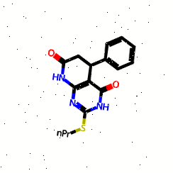 CCCSc1nc2c(c(=O)[nH]1)C(c1ccccc1)CC(=O)N2